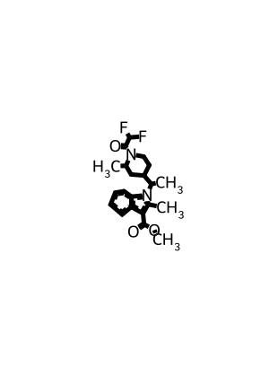 COC(=O)c1c(C)n(C(C)C2CCN(C(=O)C(F)F)C(C)C2)c2ccccc12